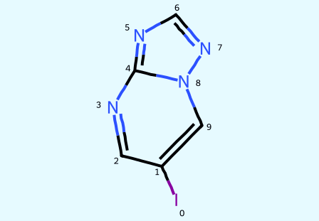 Ic1cnc2ncnn2c1